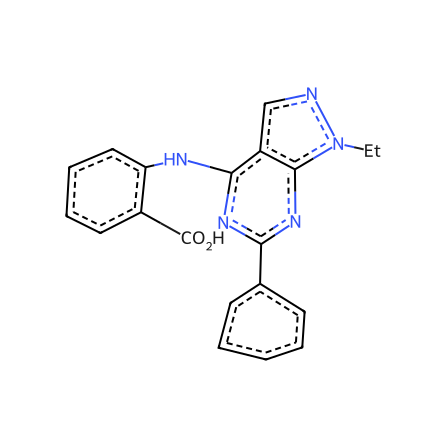 CCn1ncc2c(Nc3ccccc3C(=O)O)nc(-c3ccccc3)nc21